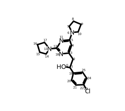 OC(Cc1cc(N2CCCC2)nc(N2CCCC2)n1)c1ccc(Cl)cc1